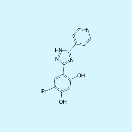 CC(C)c1cc(-c2n[nH]c(-c3ccncc3)n2)c(O)cc1O